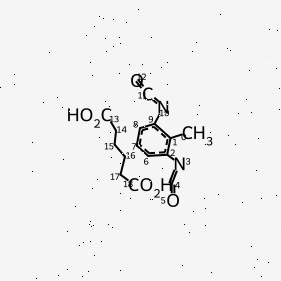 Cc1c(N=C=O)cccc1N=C=O.O=C(O)CCCCC(=O)O